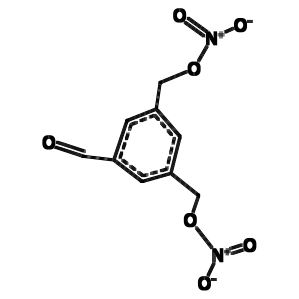 O=Cc1cc(CO[N+](=O)[O-])cc(CO[N+](=O)[O-])c1